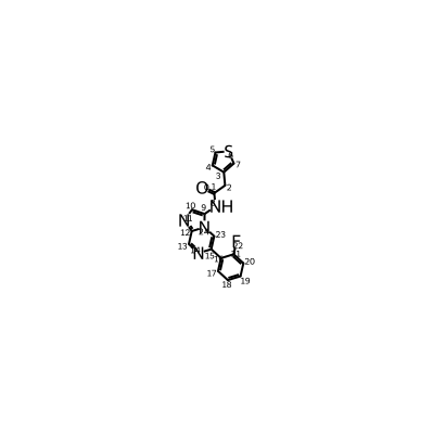 O=C(Cc1ccsc1)Nc1cnc2cnc(-c3ccccc3F)cn12